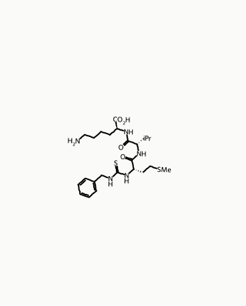 CSCC[C@H](NC(=S)NCc1ccccc1)C(=O)N[C@H](C(=O)N[C@@H](CCCCN)C(=O)O)C(C)C